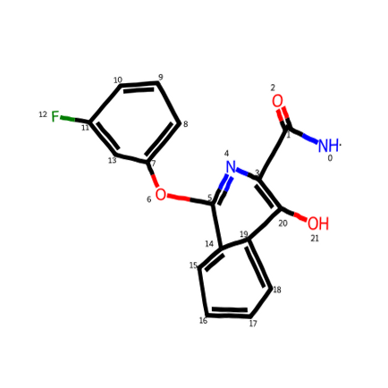 [NH]C(=O)c1nc(Oc2cccc(F)c2)c2ccccc2c1O